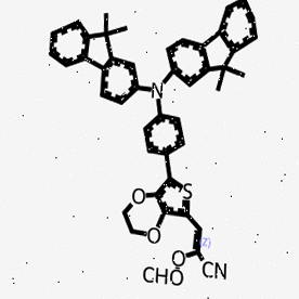 CC1(C)c2ccccc2-c2ccc(N(c3ccc(-c4sc(/C=C(/C#N)OC=O)c5c4OCCO5)cc3)c3ccc4c(c3)C(C)(C)c3ccccc3-4)cc21